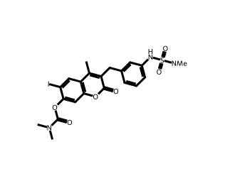 CNS(=O)(=O)Nc1cccc(Cc2c(C)c3cc(I)c(OC(=O)N(C)C)cc3oc2=O)c1